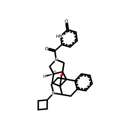 O=C(c1cccc(=O)[nH]1)N1C[C@H]2CC34CCC1C2C31CCN(C2CCC2)C4Cc2ccccc21